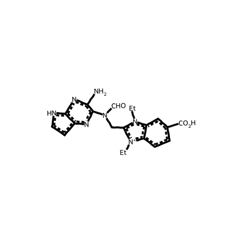 CCn1c(CN(C=O)c2nc3cc[nH]c3nc2N)[n+](CC)c2ccc(C(=O)O)cc21